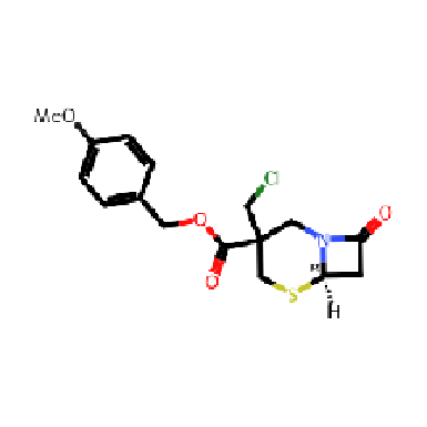 COc1ccc(COC(=O)C2(CCl)CS[C@@H]3CC(=O)N3C2)cc1